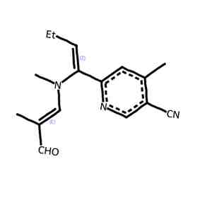 CC/C=C(/c1cc(C)c(C#N)cn1)N(C)/C=C(\C)C=O